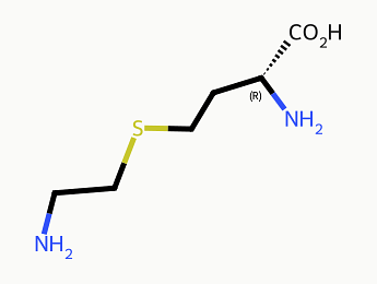 NCCSCC[C@@H](N)C(=O)O